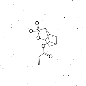 C=CC(=O)OC1C2CC3OS(=O)(=O)C1C3C2